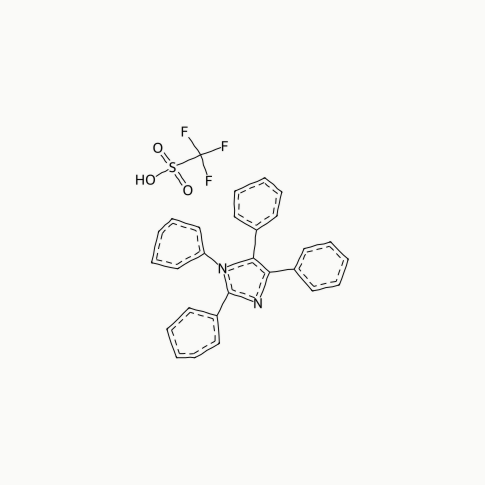 O=S(=O)(O)C(F)(F)F.c1ccc(-c2nc(-c3ccccc3)n(-c3ccccc3)c2-c2ccccc2)cc1